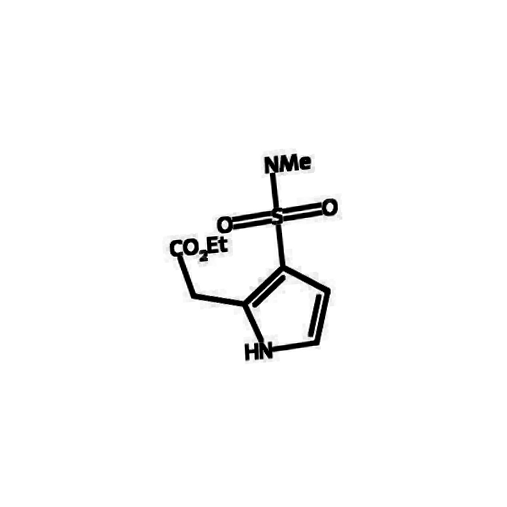 CCOC(=O)Cc1[nH]ccc1S(=O)(=O)NC